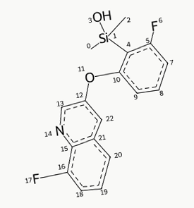 C[Si](C)(O)c1c(F)cccc1Oc1cnc2c(F)cccc2c1